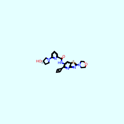 O=C(Nc1cc2sc(N3CCOCC3)nc2nc1C1C2CC21)c1cccc(N2CC[C@H](O)C2)n1